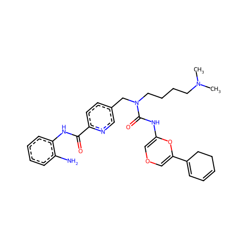 CN(C)CCCCN(Cc1ccc(C(=O)Nc2ccccc2N)nc1)C(=O)NC1=COC=C(C2=CC=CCC2)O1